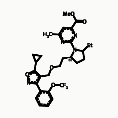 CCC1CC[C@@H](CCOCc2c(-c3ccccc3OC(F)(F)F)noc2C2CC2)N1c1nc(C)cc(C(=O)OC)n1